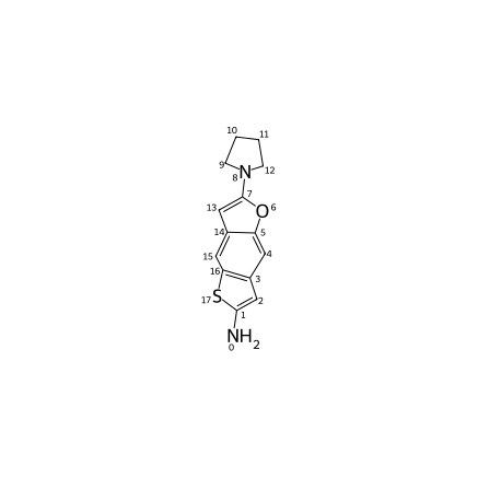 Nc1cc2cc3oc(N4CCCC4)cc3cc2s1